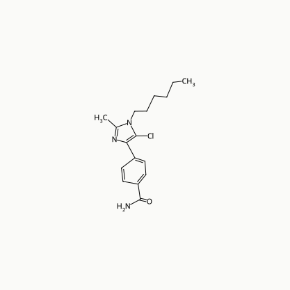 CCCCCCn1c(C)nc(-c2ccc(C(N)=O)cc2)c1Cl